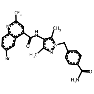 Cc1nn(Cc2ccc(C(N)=O)cc2)c(C)c1NC(=O)c1cc(C(F)(F)F)nc2ccc(Br)cc12